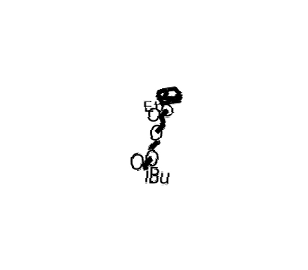 CCC(C)C(=O)OCCOCC(=O)OC1(CC)C2CC3CC(C2)CC1C3